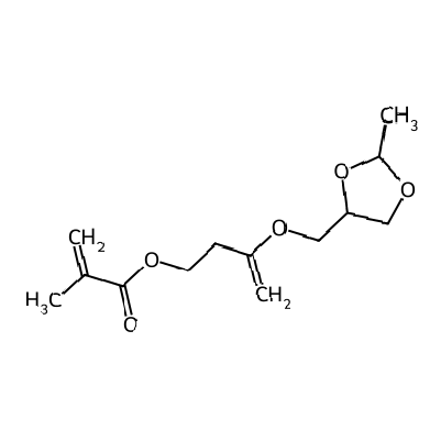 C=C(CCOC(=O)C(=C)C)OCC1COC(C)O1